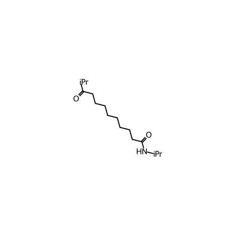 CC(C)NC(=O)CCCCCCCCC(=O)C(C)C